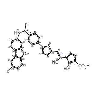 CCn1c(C(=O)O)ccc1/C(C#N)=C/c1ccc(-c2ccc(C(C)Nc3ccc4c(c3)oc3ccc(C)cc34)cc2)s1